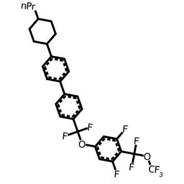 CCCC1CCC(c2ccc(-c3ccc(C(F)(F)Oc4cc(F)c(C(F)(F)OC(F)(F)F)c(F)c4)cc3)cc2)CC1